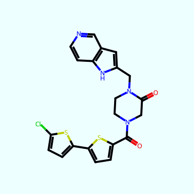 O=C1CN(C(=O)c2ccc(-c3ccc(Cl)s3)s2)CCN1Cc1cc2cnccc2[nH]1